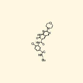 CC(C)(C)CNC(=O)c1ccc(Cl)c(NC(=O)c2cc3cnc(N4CCOCC4)nc3[nH]c2=O)c1